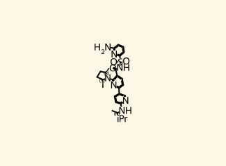 CC(C)[C@@H](C)Nc1ccc(-c2ccc(C(=O)NS(=O)(=O)c3cccc(N)n3)c(N3[C@H](C)CC[C@@H]3C)n2)cn1